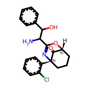 NC(C1=N[C@@]2(c3ccccc3Cl)CCC[C@@H](O1)C2=O)C(O)c1ccccc1